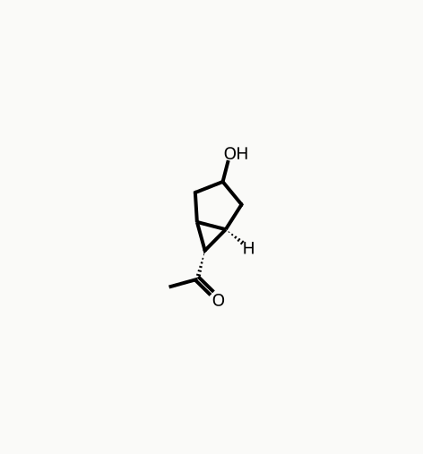 CC(=O)[C@@H]1C2CC(O)C[C@H]21